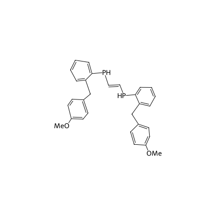 COc1ccc(Cc2ccccc2PC=CPc2ccccc2Cc2ccc(OC)cc2)cc1